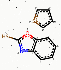 Sc1nc2ccccc2o1.c1ccsc1